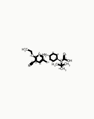 CCOc1nc(N[C@H]2CC[C@H](N(C(=O)O)C(C)(C)C)CC2)c(I)cc1C#N